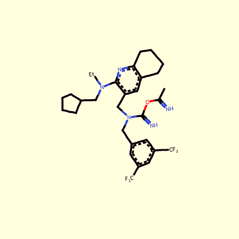 CCN(CC1CCCC1)c1nc2c(cc1CN(Cc1cc(C(F)(F)F)cc(C(F)(F)F)c1)C(=N)OC(C)=N)CCCC2